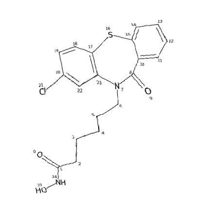 O=C(CCCCCN1C(=O)c2ccccc2Sc2ccc(Cl)cc21)NO